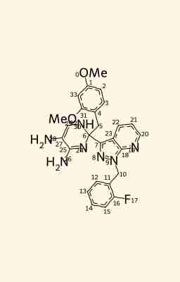 COc1ccc(CC2(c3nn(Cc4ccccc4F)c4ncccc34)N=C(N)C(N)=CN2)c(OC)c1